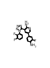 Nc1ccc(-c2cnc(N)c(-c3nnnn3-c3cccc(F)c3F)c2)cc1F